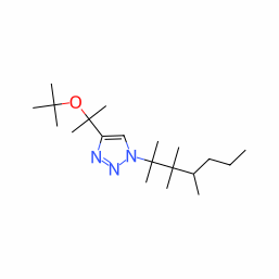 CCCC(C)C(C)(C)C(C)(C)n1cc(C(C)(C)OC(C)(C)C)nn1